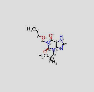 CCCOCn1c(=O)c2[nH]cnc2n(CC(C)C)c1=O